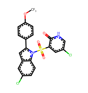 O=c1[nH]cc(Cl)cc1S(=O)(=O)n1c(-c2ccc(OC(F)(F)F)cc2)cc2cc(Cl)ccc21